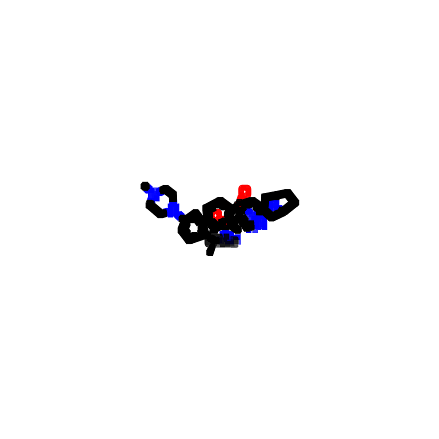 COc1cccc(C(=O)NC2CC3CCC(C2)N3c2ccc(C(=O)N[C@@H](C)c3ccc(N4CCN(C)CC4)cc3)cn2)c1C